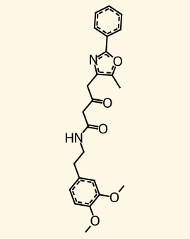 COc1ccc(CCNC(=O)CC(=O)Cc2nc(-c3ccccc3)oc2C)cc1OC